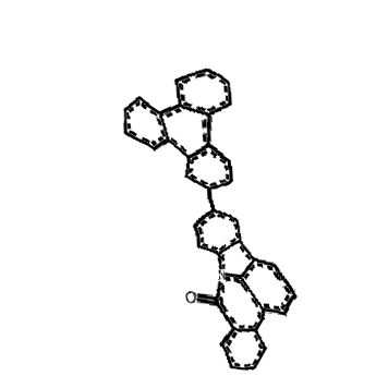 O=c1c2ccccc2c2cccc3c4cc(-c5ccc6c7ccccc7c7ccccc7c6c5)ccc4n1c23